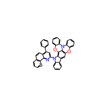 b1cccc2ccc3c(-c4ccccc4)cc(-n4c5ccccc5c5cc6c7c(c54)Oc4ccccc4N7c4ccccc4O6)nc3c12